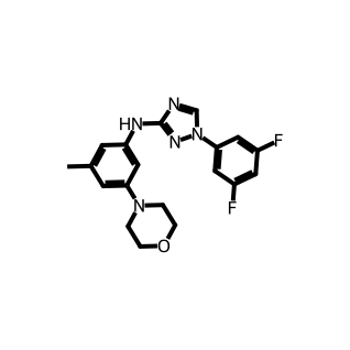 Cc1cc(Nc2ncn(-c3cc(F)cc(F)c3)n2)cc(N2CCOCC2)c1